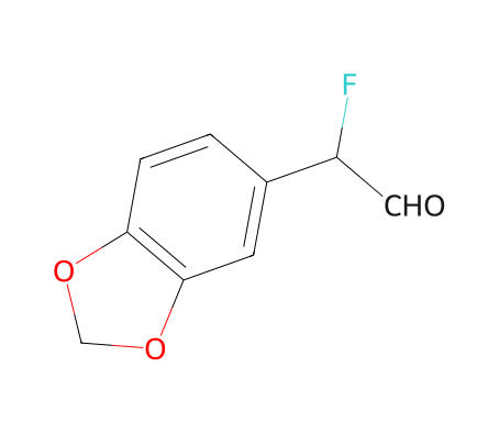 O=CC(F)c1ccc2c(c1)OCO2